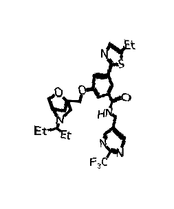 CCc1cnc(-c2cc(OCC34CC(CO3)N(C(CC)CC)C4)cc(C(=O)NCc3cnc(C(F)(F)F)nc3)c2)s1